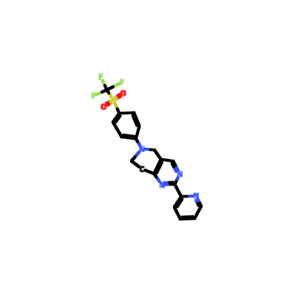 O=S(=O)(c1ccc(N2CCc3nc(-c4ccccn4)ncc3C2)cc1)C(F)(F)F